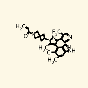 C=CC(=O)N1CC2(CC(n3nc(-c4ccncc4C(F)(F)F)c(-c4c(Cl)c(C)cc5[nH]ncc45)c3C)C2)C1